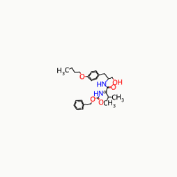 CCCCOc1ccc(CC(CO)NC(=O)[C@@H](NC(=O)OCc2ccccc2)C(C)C)cc1